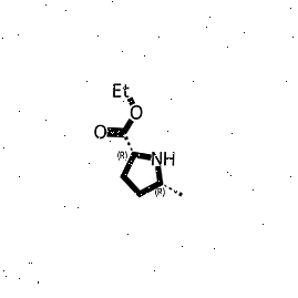 CCOC(=O)[C@H]1CC[C@@H](C)N1